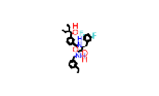 CCc1cccc(CNC[C@H](O)[C@H](Cc2cc(F)cc(F)c2)NC(=O)c2cccc(C(O)C(CC)CC)c2)c1